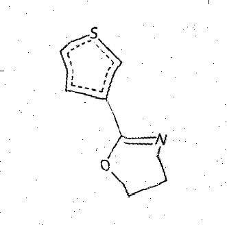 c1cc(C2=NCCO2)cs1